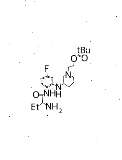 CCC(N)C(=O)Nc1ccc(F)cc1NC1CCCN(CCOC(=O)C(C)(C)C)C1